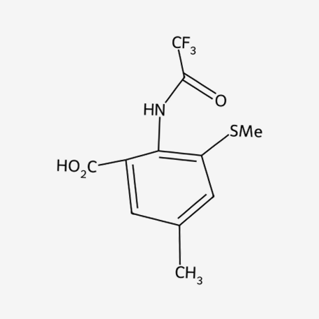 CSc1cc(C)cc(C(=O)O)c1NC(=O)C(F)(F)F